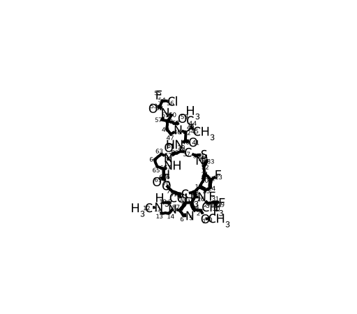 CO[C@@H](C)c1ncc(N2CCN(C)CC2)cc1-c1c2c3cc(c(F)cc3n1CC(F)(F)F)-c1csc(n1)C[C@H](NC(=O)[C@H](C(C)C)N1CCC3(CN(C(=O)[C@H](F)Cl)C3)C1=O)C(=O)N1CCC[C@H](N1)C(=O)OCC(C)(C)C2